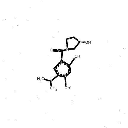 CC(C)c1cc(C(=O)N2CC[C@@H](O)C2)c(O)cc1O